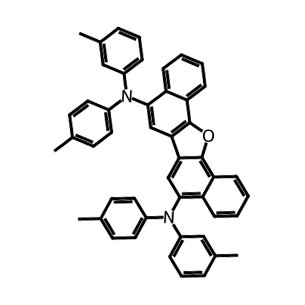 Cc1ccc(N(c2cccc(C)c2)c2cc3c4cc(N(c5ccc(C)cc5)c5cccc(C)c5)c5ccccc5c4oc3c3ccccc23)cc1